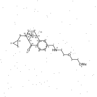 COCCOCCNCc1ccc2c(c1)[C@]1(C)CCN(CC3CC3)C(C2=O)[C@@H]1C